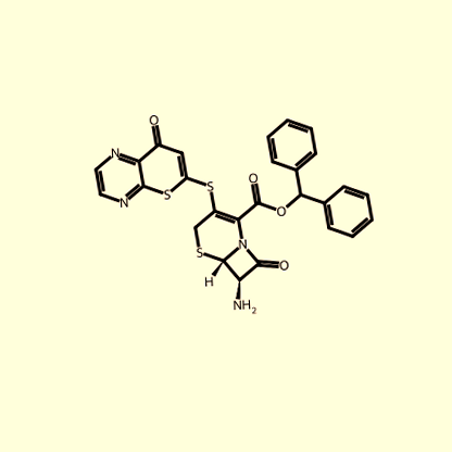 N[C@@H]1C(=O)N2C(C(=O)OC(c3ccccc3)c3ccccc3)=C(Sc3cc(=O)c4nccnc4s3)CS[C@@H]12